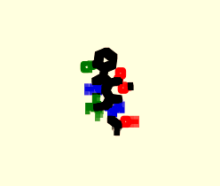 COC(=O)c1c(-c2ccccc2Cl)c[nH]c1-c1cnn(C[C@H](C)O)c1C(F)(F)F